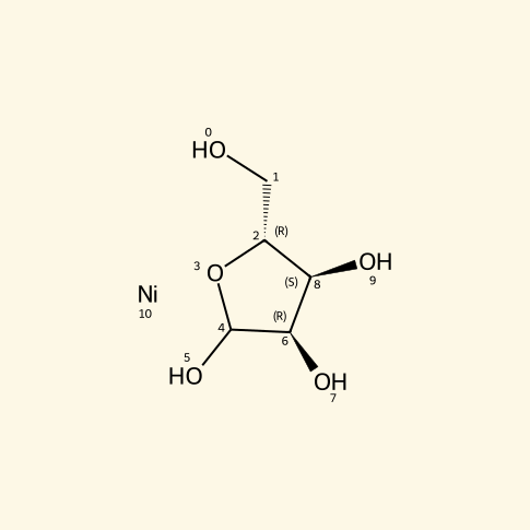 OC[C@H]1OC(O)[C@H](O)[C@@H]1O.[Ni]